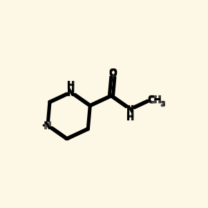 CNC(=O)C1CC[N]CN1